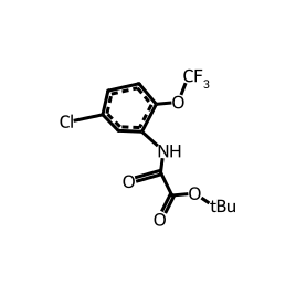 CC(C)(C)OC(=O)C(=O)Nc1cc(Cl)ccc1OC(F)(F)F